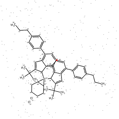 CCCc1ccc(-c2cccc3c2C=C(C(C)(C)C)[CH]3[Zr+2]2([CH]3C(C(C)(C)C)=Cc4c(-c5ccc(CCC)cc5)cccc43)[CH]3CCCC[CH]32)cc1.[Cl-].[Cl-]